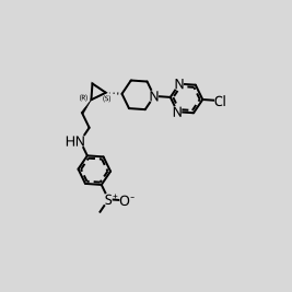 C[S+]([O-])c1ccc(NCC[C@H]2C[C@@H]2C2CCN(c3ncc(Cl)cn3)CC2)cc1